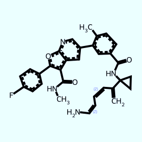 C=C(/C=C\C=C/N)C1(NC(=O)c2ccc(C)c(-c3cnc4oc(-c5ccc(F)cc5)c(C(=O)NC)c4c3)c2)CC1